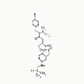 CCC(C)(C)CNc1ccc2c(c1)CC(=O)[C@]21OCN(CC(=O)N(Cc2ccc(F)cc2)C(C)C(F)(F)F)C1=O